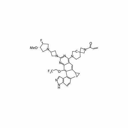 C=CC(=O)N1CC2(CCN(c3nc(N4CC(N5C[C@H](OC)[C@@H](F)C5)C4)nc4c(OCC(F)(F)F)c(-c5c(C)ccc6[nH]ncc56)c(C5CC5)cc34)CC2)C1